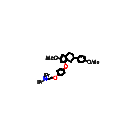 COc1ccc(C2CCc3cc(OC)cc(Oc4ccc(OCCN(C(C)C)C(C)C)cc4)c3C2)cc1